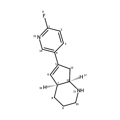 Fc1ccc(C2=C[C@@H]3CCCN[C@@H]3C2)cn1